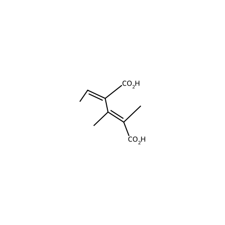 CC=C(C(=O)O)C(C)=C(C)C(=O)O